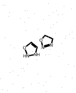 C1=CONN1.C1CON=N1